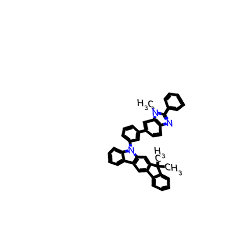 Cn1c(-c2ccccc2)nc2ccc(-c3cccc(-n4c5ccccc5c5cc6c(cc54)C(C)(C)c4ccccc4-6)c3)cc21